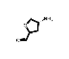 N[C@H]1COC(C=O)C1